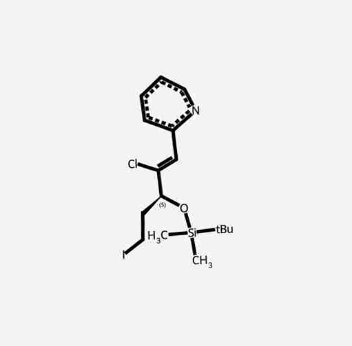 CC(C)(C)[Si](C)(C)O[C@@H](CCI)C(Cl)=Cc1ccccn1